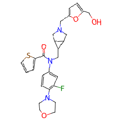 O=C(c1cccs1)N(CC1C2CN(Cc3ccc(CO)o3)CC21)c1ccc(N2CCOCC2)c(F)c1